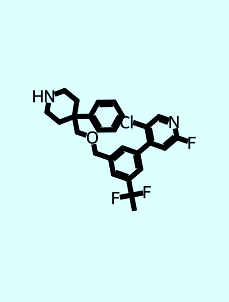 CC(F)(F)c1cc(COCC2(c3ccccc3)CCNCC2)cc(-c2cc(F)ncc2Cl)c1